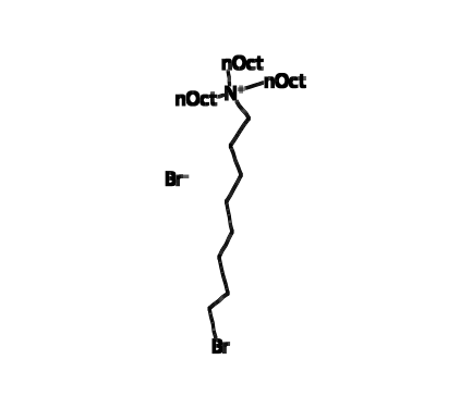 CCCCCCCC[N+](CCCCCCCC)(CCCCCCCC)CCCCCCCCBr.[Br-]